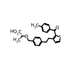 Cc1ccc(C(=O)c2sccc2CCc2ccc(CO[C@H](C)C(=O)O)cc2)cc1